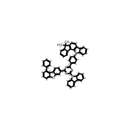 CC1(C)c2ccccc2-c2c1ccc1c3ccccc3n(-c3ccc(-c4nc(-c5ccc6c(c5)oc5cccc(-c7ccccc7)c56)nc(-n5c6ccccc6c6ccccc65)n4)cc3)c21